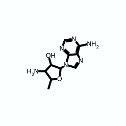 CC1OC(n2cnc3c(N)ncnc32)C(O)C1N